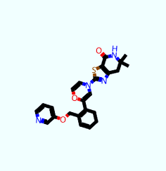 CC1(C)Cc2nc(N3C=COC(C4=C(COc5cccnc5)C=CCC4)=C3)sc2C(=O)N1